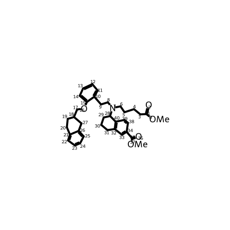 COC(=O)CCCCN(CCc1ccccc1OCC1CCc2ccccc2C1)C1CCCc2cc(C(=O)OC)ccc21